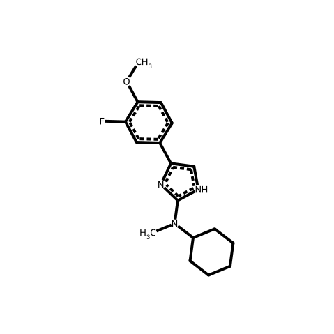 COc1ccc(-c2c[nH]c(N(C)C3CCCCC3)n2)cc1F